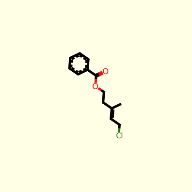 C/C(=C\CCl)CCOC(=O)c1ccccc1